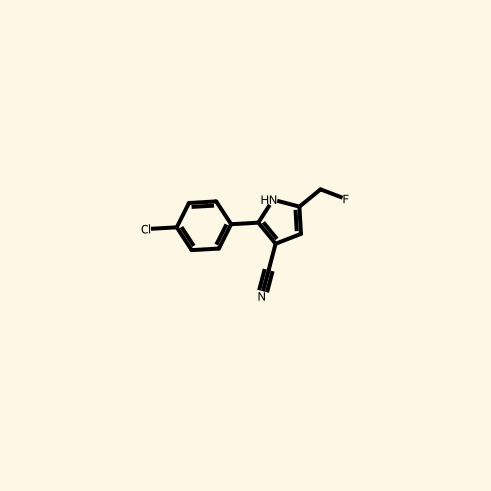 N#Cc1cc(CF)[nH]c1-c1ccc(Cl)cc1